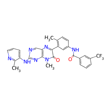 Cc1ccc(NC(=O)c2cccc(C(F)(F)F)c2)cc1-c1nc2cnc(Nc3cccnc3C)nc2n(C)c1=O